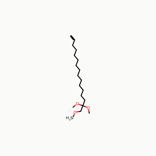 C=CCCCCCCCCCCCCC(CO[SiH3])(OC)OC